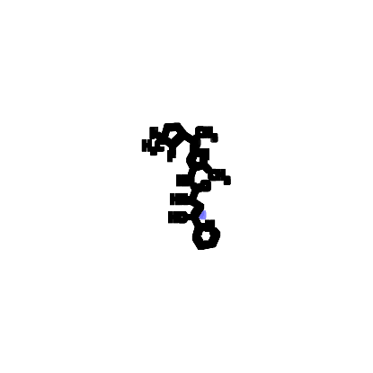 Cc1nn([C@H](C)C2=C(F)C(C)(F)C=C2)cc1NC(=O)C(=N)/C=C(\O)c1ccccn1